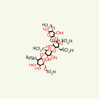 CC(=O)N[C@H]1[C@@H](O[C@H]2[C@H](O)[C@@H](O)[C@H](O[C@H]3[C@H](CS(=O)(=O)O)[C@@H](OS(=O)(=O)O)[C@@H](O[C@H]4[C@H](O)[C@@H](OS(=O)(=O)O)C(O)O[C@H]4C(=O)O)O[C@@H]3O)O[C@@H]2C(=O)O)O[C@H](COS(=O)(=O)O)[C@@H](O)[C@@H]1O